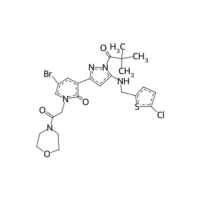 CC(C)(C)C(=O)n1nc(-c2cc(Br)cn(CC(=O)N3CCOCC3)c2=O)cc1NCc1ccc(Cl)s1